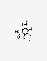 Cc1c(N)c([N+](=O)[O-])cc(C(F)(F)F)c1I